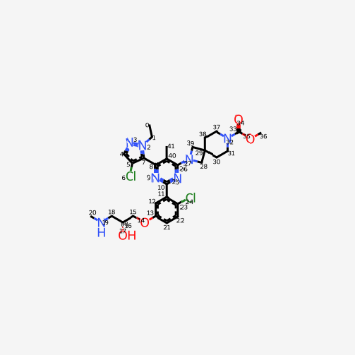 CCn1ncc(Cl)c1-c1nc(-c2cc(OC[C@H](O)CNC)ccc2Cl)nc(N2CC3(CCN(C(=O)OC)CC3)C2)c1C